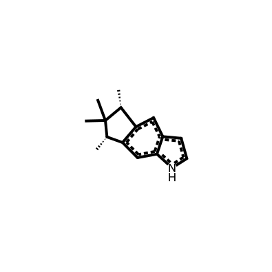 C[C@@H]1c2cc3cc[nH]c3cc2[C@H](C)C1(C)C